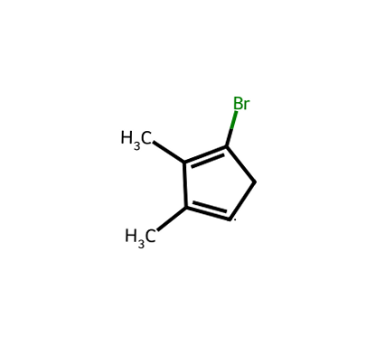 CC1=[C]CC(Br)=C1C